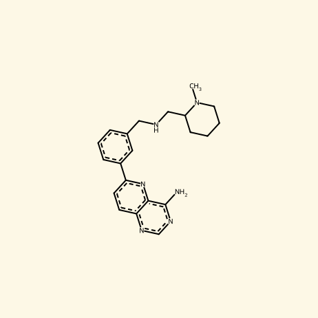 CN1CCCCC1CNCc1cccc(-c2ccc3ncnc(N)c3n2)c1